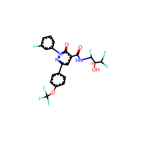 O=C(NC(F)[C@H](O)C(F)F)c1cc(-c2ccc(OC(F)(F)F)cc2)nn(-c2cccc(F)c2)c1=O